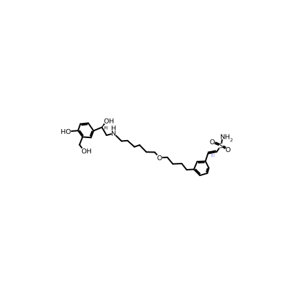 NS(=O)(=O)/C=C/c1cccc(CCCCOCCCCCCNC[C@H](O)c2ccc(O)c(CO)c2)c1